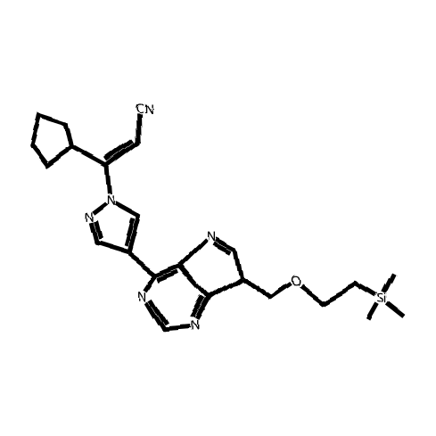 C[Si](C)(C)CCOCC1C=Nc2c(-c3cnn(C(=CC#N)C4CCCC4)c3)ncnc21